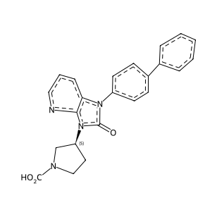 O=C(O)N1CC[C@H](n2c(=O)n(-c3ccc(-c4ccccc4)cc3)c3cccnc32)C1